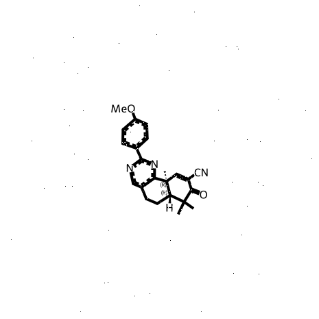 COc1ccc(-c2ncc3c(n2)[C@@]2(C)C=C(C#N)C(=O)C(C)(C)[C@@H]2CC3)cc1